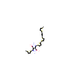 Cc1ccc(C#Cc2ccc(-c3ccc(C4=C5C(=O)N(C)C(c6ccc(C)s6)=C5C(=O)N4C)s3)s2)s1